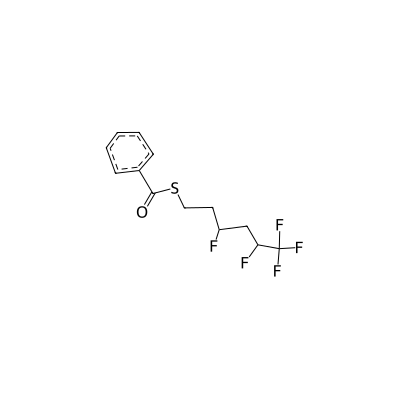 O=C(SCCC(F)CC(F)C(F)(F)F)c1ccccc1